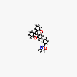 CC1(C)COC(c2cccc(-c3cc4c5c(c3)Oc3ccccc3B5c3ccccc3O4)c2)=N1